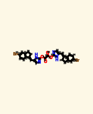 O=C(Oc1ncc(C=C2CCc3cc(Br)ccc32)[nH]1)C(=O)Oc1ncc(C=C2CCc3cc(Br)ccc32)[nH]1